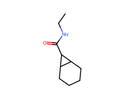 CCNC(=O)C1C2CCCCC21